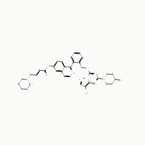 CC(C)c1cnn2c(NCc3ccccc3-c3nccc4cc(NC(=O)/C=C/CN5CCCCC5)ccc34)nc(N3CCC(N)CC3)nc12